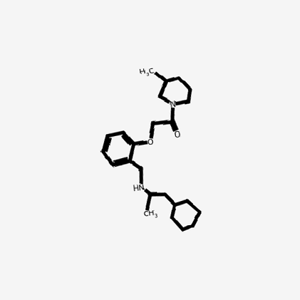 CC1CCCN(C(=O)COc2ccccc2CNC(C)CC2CCCCC2)C1